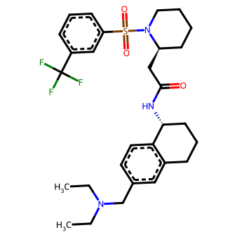 CCN(CC)Cc1ccc2c(c1)CCC[C@H]2NC(=O)C[C@@H]1CCCCN1S(=O)(=O)c1cccc(C(F)(F)F)c1